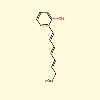 CCCCCCCCC/C=C/C=C/C=C/c1ccccc1O